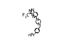 CCCc1ccc(CN2CCN(c3ccc4nnc(C(F)(F)F)n4n3)CC2)cc1